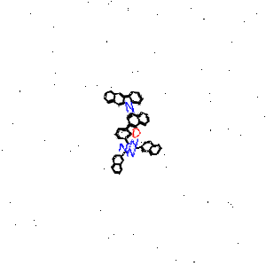 c1ccc2cc(-c3nc(-c4ccc5ccccc5c4)nc(-c4cccc5c4oc4c6ccccc6c(-n6c7ccccc7c7cc8ccccc8cc76)cc54)n3)ccc2c1